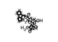 Cc1cn(CC(=O)N(CC(=O)O)CC(N)C(=O)OCC2c3ccccc3-c3ccccc32)c(=O)[nH]c1=O